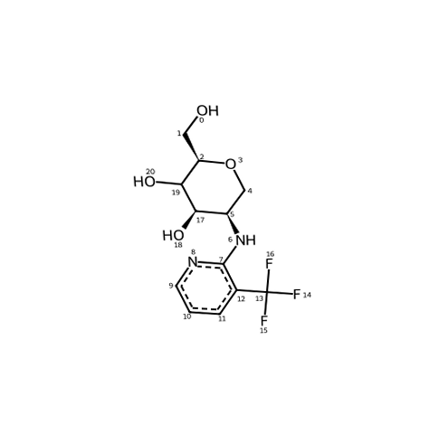 OC[C@H]1OC[C@@H](Nc2ncccc2C(F)(F)F)[C@@H](O)C1O